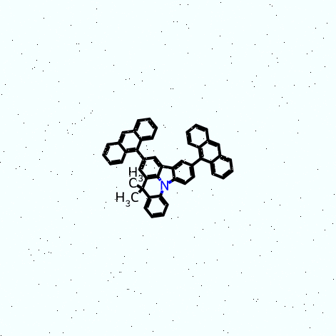 CC1(C)c2ccccc2-n2c3ccc(-c4c5ccccc5cc5ccccc45)cc3c3cc(-c4c5ccccc5cc5ccccc45)cc1c32